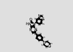 O=c1[nH]c2ncc(-c3ccc(N4CCOCC4)cc3)nc2n1-c1ccc2scnc2c1